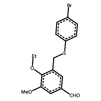 CCOc1c(CSc2ccc(Br)cc2)cc(C=O)cc1OC